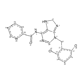 O=C(NC1=C2NCN=C2N(Cc2c(Cl)cccc2Cl)C=N1)c1ccccn1